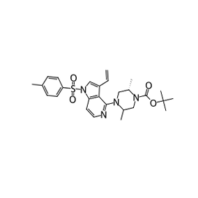 C=Cc1cn(S(=O)(=O)c2ccc(C)cc2)c2ccnc(N3C[C@H](C)N(C(=O)OC(C)(C)C)CC3C)c12